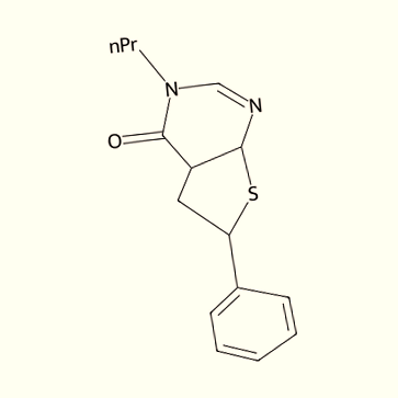 CCCN1C=NC2SC(c3ccccc3)CC2C1=O